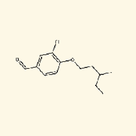 CCC(C)CCOc1ccc(C=O)cc1Cl